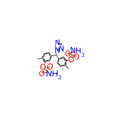 Cc1ccc(C(c2ccc(C)c(OS(N)(=O)=O)c2)n2cncn2)cc1OS(N)(=O)=O